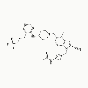 CC(=O)NC12CC(Cn3c(C#N)cc4c(C)c(CN5CCC(Nc6ncncc6CCCC(F)(F)F)CC5)ccc43)(C1)C2